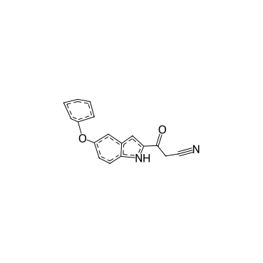 N#CCC(=O)c1cc2cc(Oc3ccccc3)ccc2[nH]1